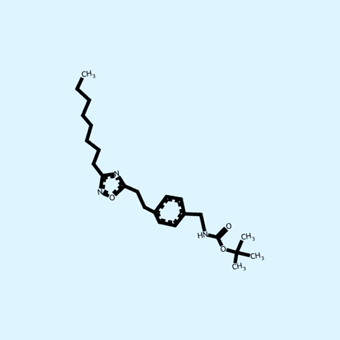 CCCCCCCCc1noc(CCc2ccc(CNC(=O)OC(C)(C)C)cc2)n1